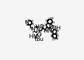 CC(C)(C)NC(=O)[C@@H]1CN(Cc2cccnc2)CCN1CC(O)CC(Cc1ccccc1)C(=O)N[C@H]1c2ccccc2C[C@H]1O